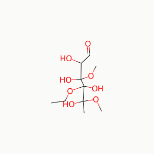 CCOC(O)(C(C)(O)OC)C(O)(OC)C(O)C=O